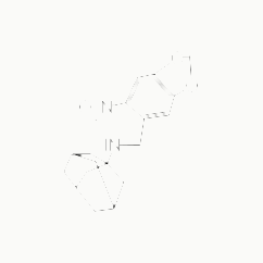 O=[N+]([O-])c1cc2c(cc1CNC13CC4CC(CC(C4)C1)C3)OCO2